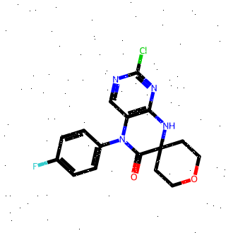 O=C1N(c2ccc(F)cc2)c2cnc(Cl)nc2NC12CCOCC2